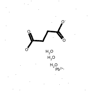 O.O.O.O=C([O-])CCC(=O)[O-].[Pb+2]